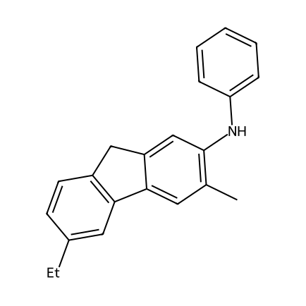 CCc1ccc2c(c1)-c1cc(C)c(Nc3ccccc3)cc1C2